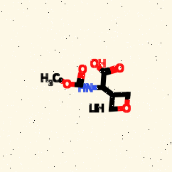 COC(=O)NC(C(=O)O)C1COC1.[LiH]